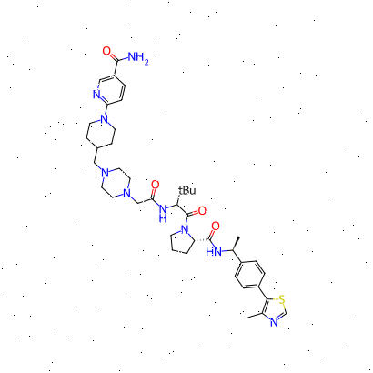 Cc1ncsc1-c1ccc([C@H](C)NC(=O)[C@@H]2CCCN2C(=O)C(NC(=O)CN2CCN(CC3CCN(c4ccc(C(N)=O)cn4)CC3)CC2)C(C)(C)C)cc1